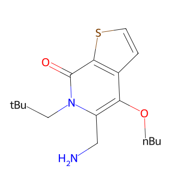 CCCCOc1c(CN)n(CC(C)(C)C)c(=O)c2sccc12